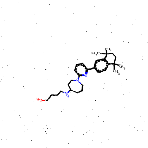 CC1(C)CCC(C)(C)c2cc(-c3cccc(N4CCCC(NCCCCO)CC4)n3)ccc21